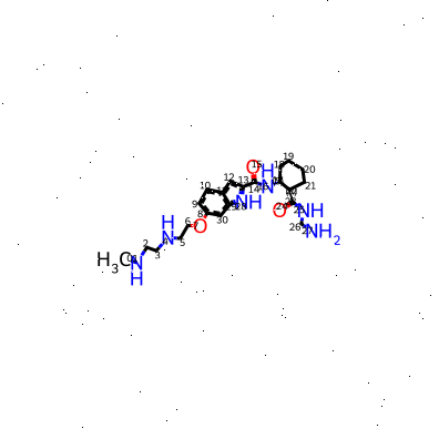 CNCCNCCOc1ccc2cc(C(=O)N[C@H]3CCCC[C@H]3C(=O)NCN)[nH]c2c1